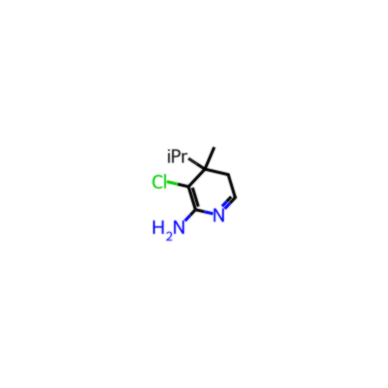 CC(C)C1(C)CC=NC(N)=C1Cl